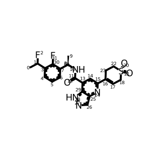 CC(F)c1cccc([C@@H](C)NC(=O)c2cc(C3=CCS(=O)(=O)CC3)nc3cn[nH]c23)c1F